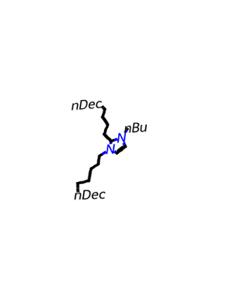 CCCCCCCCCCCCCCCN1C=CN(CCCC)C1CCCCCCCCCCCCCC